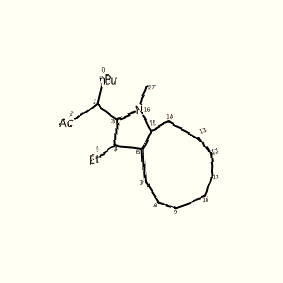 CCCCC(C(C)=O)C1C(CC)C2CCCCCCCCC2N1C